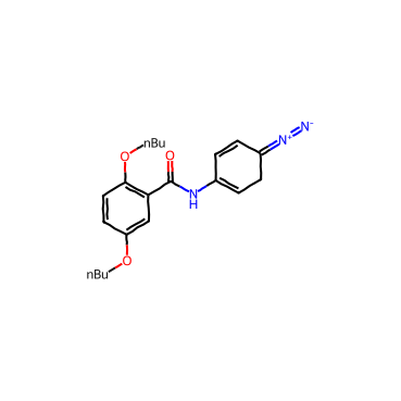 CCCCOc1ccc(OCCCC)c(C(=O)NC2=CCC(=[N+]=[N-])C=C2)c1